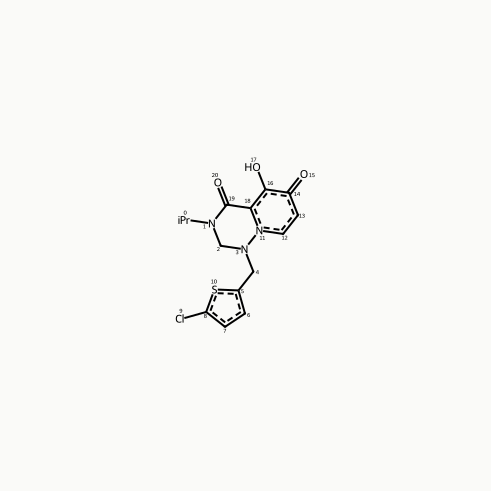 CC(C)N1CN(Cc2ccc(Cl)s2)n2ccc(=O)c(O)c2C1=O